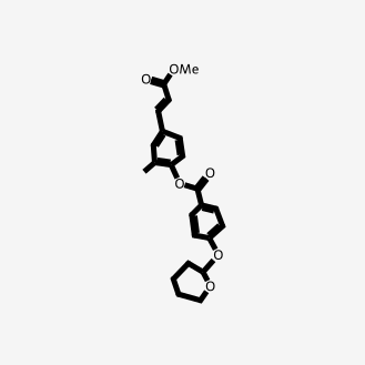 COC(=O)/C=C/c1ccc(OC(=O)c2ccc(OC3CCCCO3)cc2)c(C)c1